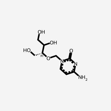 Nc1ccn(CO[C@H](CO)C(O)CO)c(=O)n1